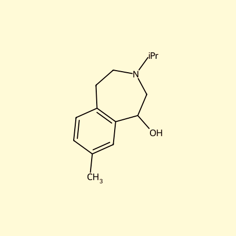 Cc1ccc2c(c1)C(O)CN(C(C)C)CC2